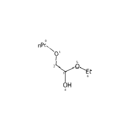 [CH2]CCOCC(O)OCC